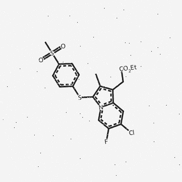 CCOC(=O)Cc1c(C)c(Sc2ccc(S(C)(=O)=O)cc2)n2cc(F)c(Cl)cc12